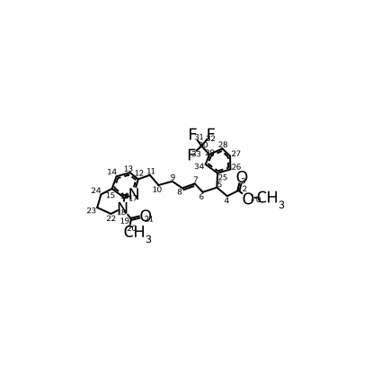 COC(=O)CC(C/C=C/CCCc1ccc2c(n1)N(C(C)=O)CCC2)c1cccc(C(F)(F)F)c1